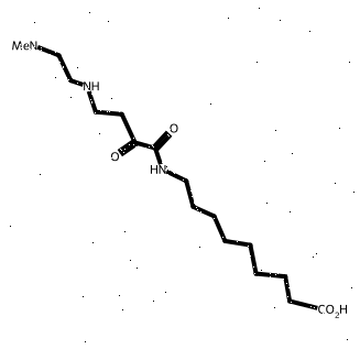 CNCCNCCC(=O)C(=O)NCCCCCCCCC(=O)O